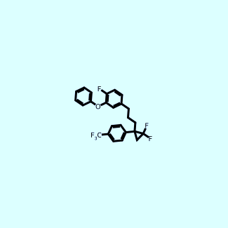 Fc1ccc(CCCC2(c3ccc(C(F)(F)F)cc3)CC2(F)F)cc1Oc1ccccc1